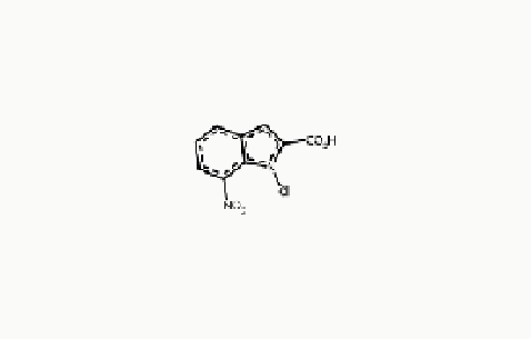 O=C(O)c1cc2cccc([N+](=O)[O-])c2n1Cl